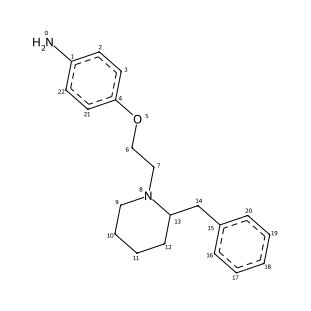 Nc1ccc(OCCN2CCCCC2Cc2ccccc2)cc1